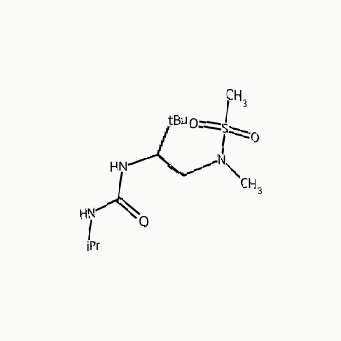 CC(C)NC(=O)NC(CN(C)S(C)(=O)=O)C(C)(C)C